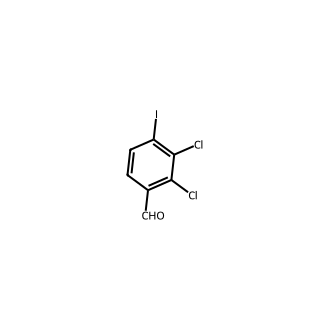 O=Cc1ccc(I)c(Cl)c1Cl